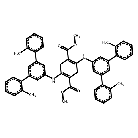 COC(=O)C1=C(Nc2cc(-c3ccccc3C)cc(-c3ccccc3C)c2)CC(C(=O)OC)=C(Nc2cc(-c3ccccc3C)cc(-c3ccccc3C)c2)C1